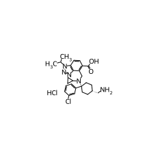 CC(C)n1nnc2c(CN(C3CC3)[C@]3(c4cccc(Cl)c4)CC[C@H](CN)CC3)c(C(=O)O)ccc21.Cl